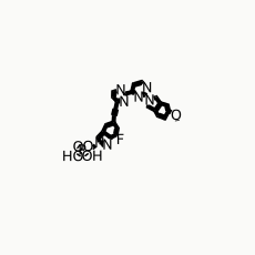 COc1ccc2c(c1)CN(c1nccc(-c3nccc(C#Cc4cc(F)c5nn(COP(=O)(O)O)cc5c4)n3)n1)C2